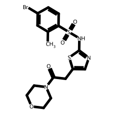 Cc1cc(Br)ccc1S(=O)(=O)Nc1ncc(CC(=O)N2CCOCC2)s1